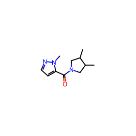 CC1CN(C(=O)c2ccnn2C)CC1C